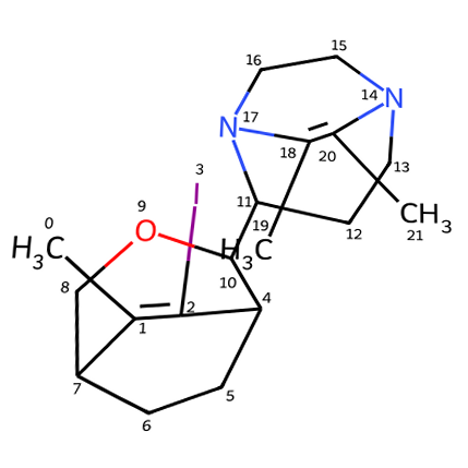 CC1=C(I)C2CCC1COC2C1CCN2CCN1C(C)=C2C